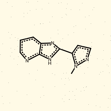 Cn1nccc1-c1nc2cccnc2[nH]1